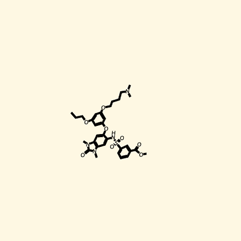 CCCOc1cc(OCCCCN(C)C)cc(Oc2cc3c(cc2NS(=O)(=O)c2cccc(C(=O)OC)c2)n(C)c(=O)n3C)c1